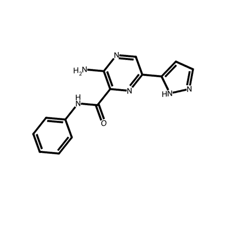 Nc1ncc(-c2ccn[nH]2)nc1C(=O)Nc1ccccc1